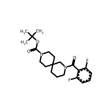 CC(C)(C)OC(=O)N1CCC2(CCCN(C(=O)c3c(F)cccc3F)C2)CC1